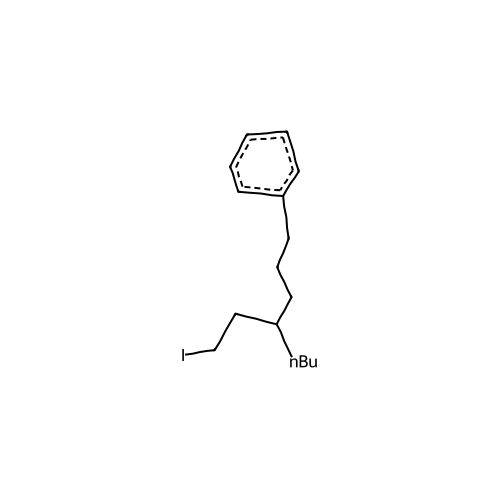 CCCCC(CCI)CCCc1ccccc1